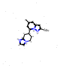 CCCCc1cc2cc(C)cc(C3CCn4ccnc4C3)n2n1